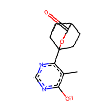 Cc1c(O)n[c]nc1C12CCC(CC1)C(=O)O2